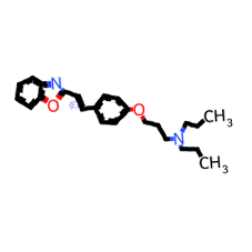 CCCN(CCC)CCCOc1ccc(/C=C/c2nc3ccccc3o2)cc1